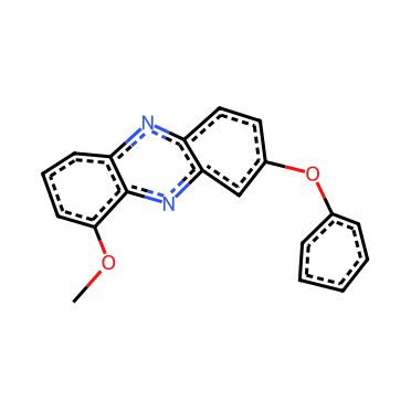 COc1cccc2nc3ccc(Oc4ccccc4)cc3nc12